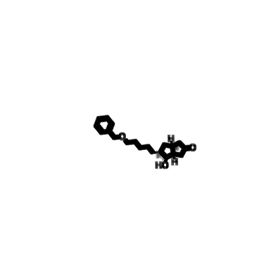 O=C1C[C@@H]2C[C@@H](CCCCCOCc3ccccc3)[C@H](O)[C@@H]2C1